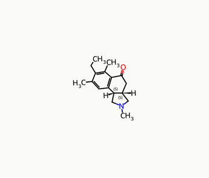 CCc1c(C)cc2c(c1C)C(=O)C[C@@H]1CN(C)C[C@H]21